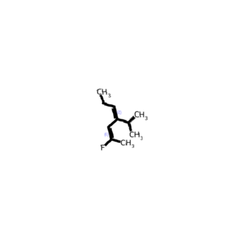 CC/C=C(\C=C(/C)F)C(C)C